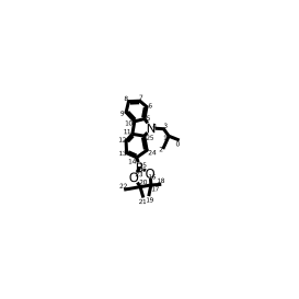 CC(C)Cn1c2ccccc2c2ccc(B3OC(C)(C)C(C)(C)O3)cc21